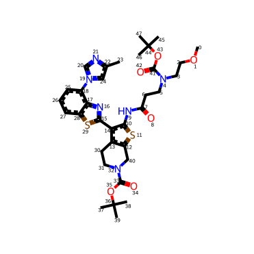 COCCN(CCC(=O)Nc1sc2c(c1-c1nc3c(-n4cnc(C)c4)cccc3s1)CCN(C(=O)OC(C)(C)C)C2)C(=O)OC(C)(C)C